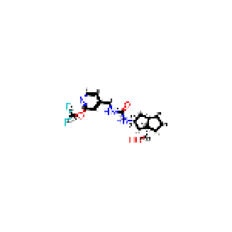 O=C(NCc1ccnc(OC(F)F)c1)N[C@H]1CC2CCC[C@@]2(CO)C1